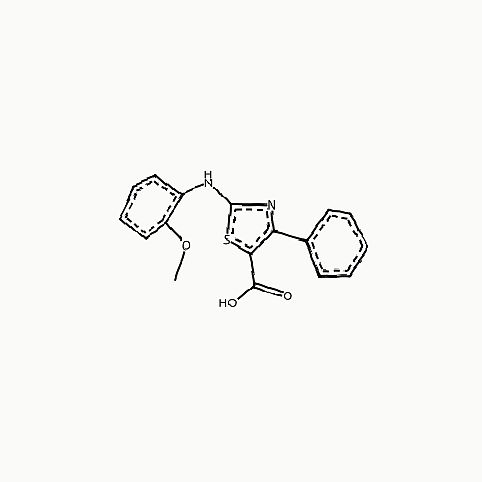 COc1ccccc1Nc1nc(-c2ccccc2)c(C(=O)O)s1